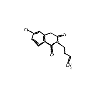 C=CCCN1C(=O)Cc2cc(Cl)ccc2C1=O